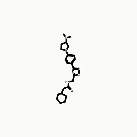 CN(C)C1CCN(c2ccc(-c3noc(CNC(=O)CC4CCCCC4)n3)cc2)C1